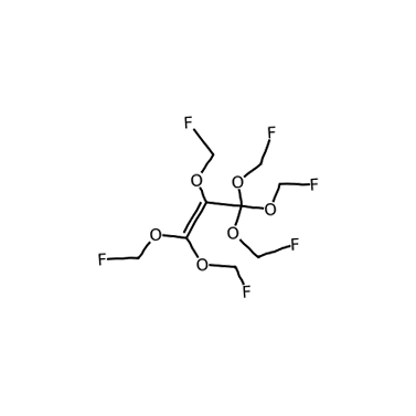 FCOC(OCF)=C(OCF)C(OCF)(OCF)OCF